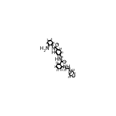 Nc1ccccc1NC(=O)c1ccc(CNC(=O)c2ccccc2NCCN2CCOCC2)cc1